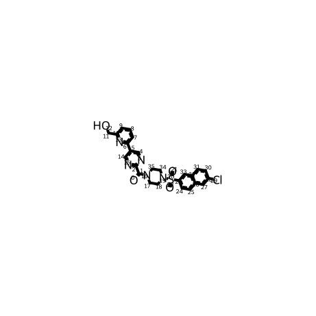 O=C(c1ncc(-c2cccc(CO)n2)cn1)N1CCN(S(=O)(=O)c2ccc3cc(Cl)ccc3c2)CC1